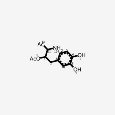 CC(=O)OC(Cc1ccc(O)c(O)c1)C(N)C(C)=O